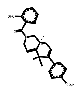 CC1(C)C(c2ccc(C(=O)O)cc2)=CC[C@]2(C)CN(C(=O)c3ccccc3C=O)CC=C12